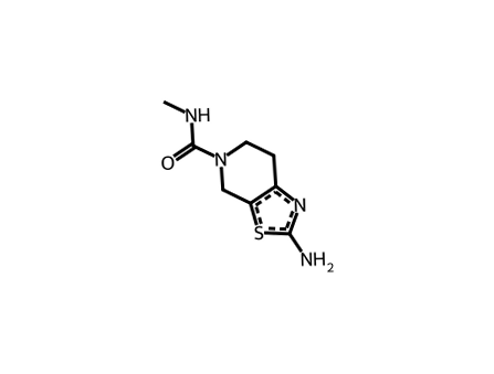 CNC(=O)N1CCc2nc(N)sc2C1